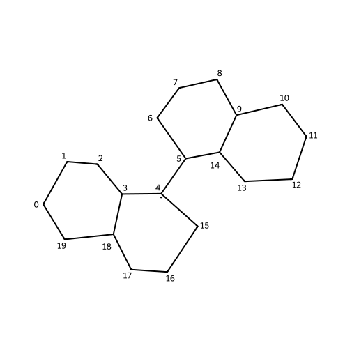 C1CCC2[C](C3CCCC4CCCCC43)CCCC2C1